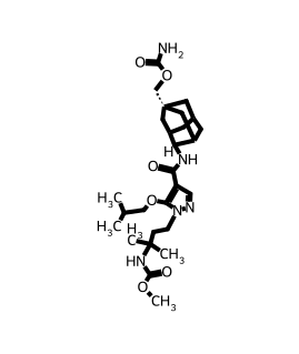 COC(=O)NC(C)(C)CCn1ncc(C(=O)N[C@H]2C3CC4CC2C[C@](COC(N)=O)(C4)C3)c1OCC(C)C